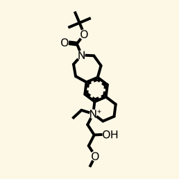 CC[N+]1(CC(O)COC)CCCc2cc3c(cc21)CCN(C(=O)OC(C)(C)C)CC3